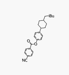 CCC(C)CC1CCC(c2ccc(OC(=O)c3ccc(C#N)cc3)cc2)CC1